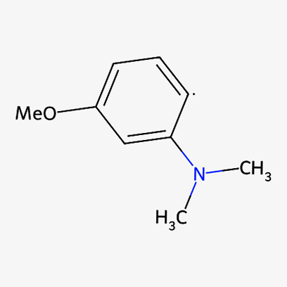 COc1cc[c]c(N(C)C)c1